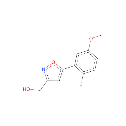 COc1ccc(F)c(-c2cc(CO)no2)c1